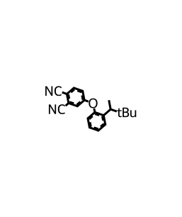 CC(c1ccccc1Oc1ccc(C#N)c(C#N)c1)C(C)(C)C